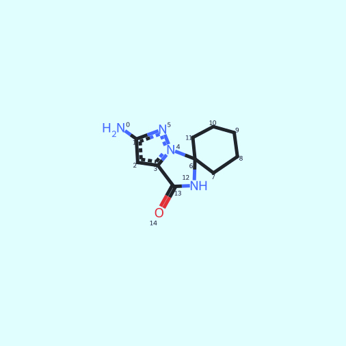 Nc1cc2n(n1)C1(CCCCC1)NC2=O